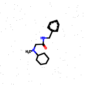 CN(CC(=O)NCc1ccccc1)C1CCCCC1